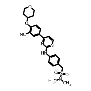 CN(C)S(=O)(=O)Cc1ccc(Nc2nccc(-c3ccc(OC4CCOCC4)c(C#N)c3)n2)cc1